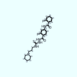 O=C(NNC(=S)NCCCN1CCCCC1)c1ccc(NC(=O)c2ccccc2F)cc1F